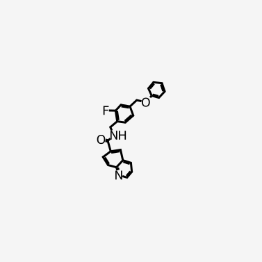 O=C(NCc1ccc(COc2ccccc2)cc1F)c1ccc2ncccc2c1